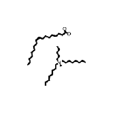 CCCCCCCC/C=C\CCCCCCCC(=O)[O-].CCCCCCCC[N+](C)(CCCCC)CCCCCCCC